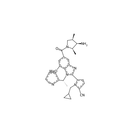 COc1cc(C(=O)N2C[C@@H](C)[C@@H](N)[C@H]2C)cc2nc(-c3ccc(C#N)n3CC3CC3)n([C@H](C)c3ccccn3)c12